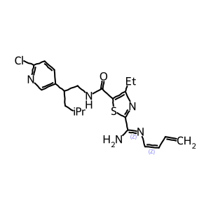 C=C/C=C\N=C(/N)c1nc(CC)c(C(=O)NCC(CC(C)C)c2ccc(Cl)nc2)s1